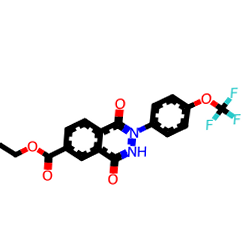 CCOC(=O)c1ccc2c(=O)n(-c3ccc(OC(F)(F)F)cc3)[nH]c(=O)c2c1